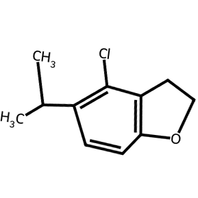 CC(C)c1ccc2c(c1Cl)CCO2